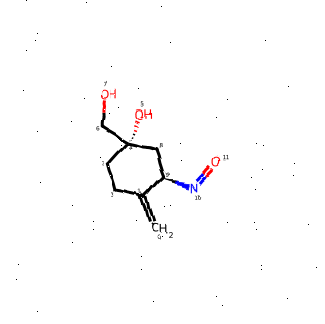 C=C1CC[C@@](O)(CO)C[C@H]1N=O